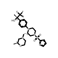 C[C@H]1CN(C[C@H]2CN(S(=O)(=O)c3cccs3)CCN2c2ccc([C@](C)(O)C(F)(F)F)cc2)CCO1